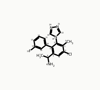 Cc1c(Cl)cc(C(C)N)c(-c2cccc(F)c2)c1-n1cnnc1